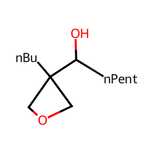 CCCCCC(O)C1(CCCC)COC1